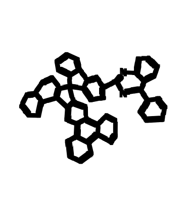 c1ccc(-c2nc(-c3ccc4c(c3)-c3ccccc3C43c4cc5c6ccccc6c6ccccc6c5cc4-c4c3ccc3ccccc43)nc3ccccc23)cc1